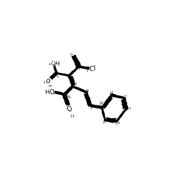 C=C(Cl)C(C(=O)O)=C(C=Cc1ccccc1)C(=O)O